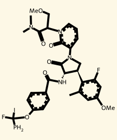 COCC(C(=O)N(C)C)n1cccc(N2C[C@@H](c3c(C)cc(OC)cc3F)[C@H](NC(=O)c3ccc(OC(F)(P)I)cc3)C2=O)c1=O